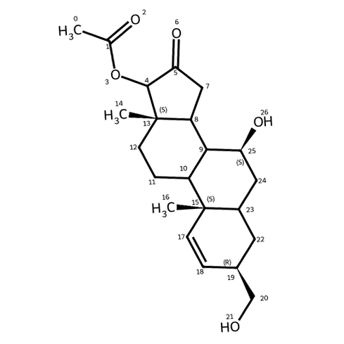 CC(=O)OC1C(=O)CC2C3C(CC[C@]12C)[C@@]1(C)C=C[C@H](CO)CC1C[C@@H]3O